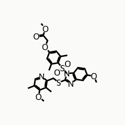 COC(=O)COc1cc(C)c(S(=O)(=O)n2c(SCc3ncc(C)c(OC)c3C)nc3cc(OC)ccc32)c(C)c1